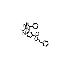 Cc1nc2ccc(C(=O)OCCc3ccccc3)cc2n2c(-c3ccccc3)nnc12